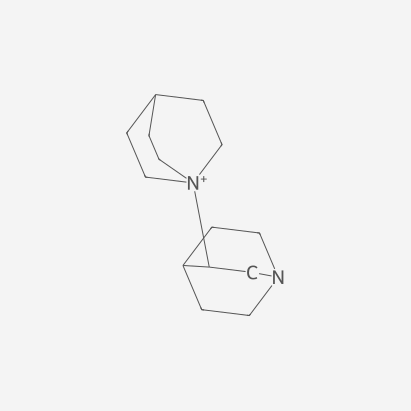 C1C[N+]2(C3CN4CCC3CC4)CCC1CC2